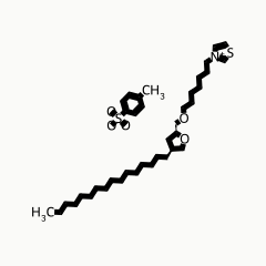 CCCCCCCCCCCCCCCC[C@@H]1CO[C@@H](COCCCCCCC[n+]2ccsc2)C1.Cc1ccc(S(=O)(=O)[O-])cc1